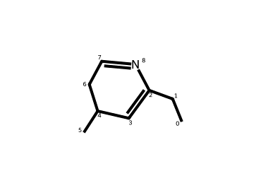 CCC1=CC(C)CC=N1